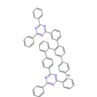 N#Cc1ccc(-c2ccc(-c3cccc(-c4nc(-c5ccccc5)nc(-c5ccccc5)n4)c3)c(-c3ccccc3-c3ccc(-c4nc(-c5ccccc5)nc(-c5ccccc5)n4)cc3)c2)cc1